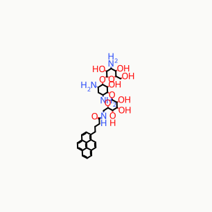 NC1C[C@H](N)C(OC2OC(CO)C(O)C(N)C2O)C(O)C1OC1OC(CNC(=O)CCCc2ccc3ccc4cccc5ccc2c3c45)C(O)C(O)C1O